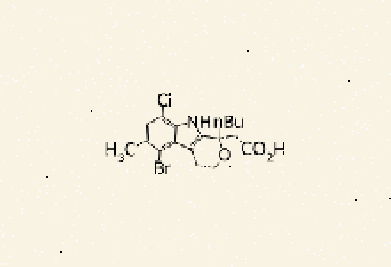 CCCCC1(CC(=O)O)OCCc2c1[nH]c1c(Cl)cc(C)c(Br)c21